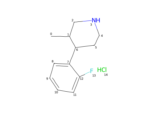 CC1CNCCC1c1ccccc1F.Cl